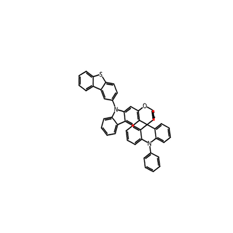 c1ccc(N2c3ccccc3C3(c4ccccc4Oc4cc5c(cc43)c3ccccc3n5-c3ccc4sc5ccccc5c4c3)c3ccccc32)cc1